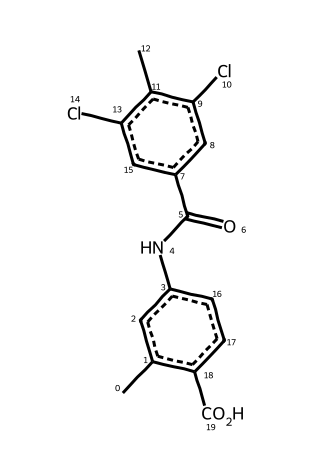 Cc1cc(NC(=O)c2cc(Cl)c(C)c(Cl)c2)ccc1C(=O)O